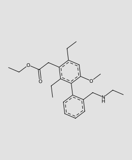 CCNCc1ccccc1-c1c(OC)cc(CC)c(CC(=O)OCC)c1CC